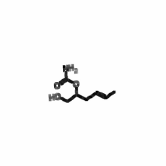 CC=CCC(CO)OC(N)=O